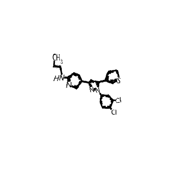 CCCNc1ccc(-c2cc(-c3ccsc3)n(-c3ccc(Cl)c(Cl)c3)n2)cn1